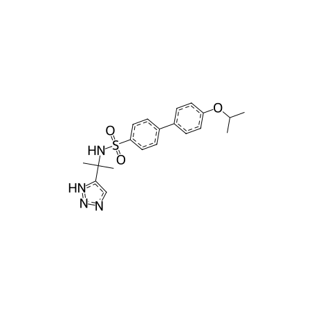 CC(C)Oc1ccc(-c2ccc(S(=O)(=O)NC(C)(C)c3cnn[nH]3)cc2)cc1